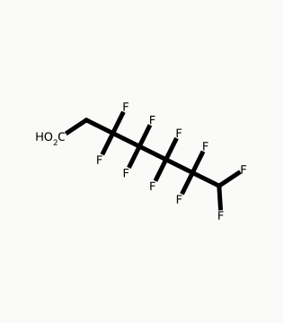 O=C(O)CC(F)(F)C(F)(F)C(F)(F)C(F)(F)C(F)F